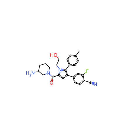 Cc1ccc(-c2c(-c3ccc(C#N)c(F)c3)cc(C(=O)N3CCC[C@@H](N)C3)n2CCO)cc1